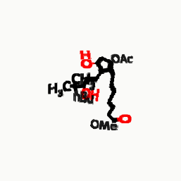 CCCCC(C)(C)[C@H](O)/C=C/[C@@H]1C(CCCCCCC(=O)OC)=C(OC(C)=O)C[C@H]1O